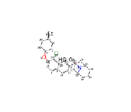 CC[C@H]1CC[C@@H](Oc2ccc3ccc(CN4C5CCCC4CC(C(=O)O)C5)cc3c2Cl)CC1